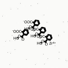 O=C([O-])c1ccccc1C(=O)OO.O=C([O-])c1ccccc1C(=O)OO.O=C([O-])c1ccccc1C(=O)OO.O=C([O-])c1ccccc1C(=O)OO.[Zr+4]